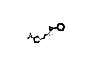 CN(C)[C@H]1CCN(CCN[C@H]2CC2c2ccccc2)C1